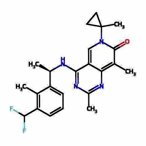 Cc1nc(N[C@H](C)c2cccc(C(F)F)c2C)c2cn(C3(C)CC3)c(=O)c(C)c2n1